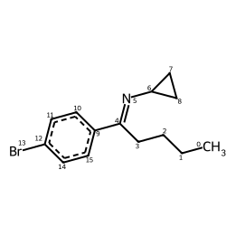 CCCCC(=NC1CC1)c1ccc(Br)cc1